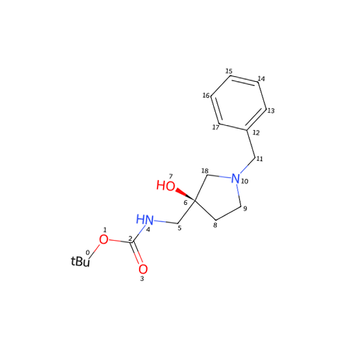 CC(C)(C)OC(=O)NC[C@@]1(O)CCN(Cc2ccccc2)C1